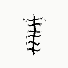 FC(F)(F)C(F)(F)C(F)(F)C(F)(F)C(F)(F)C(F)([SiH3])[SiH3]